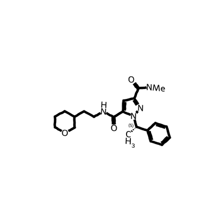 CNC(=O)c1cc(C(=O)NCCC2CCCOC2)n([C@@H](C)c2ccccc2)n1